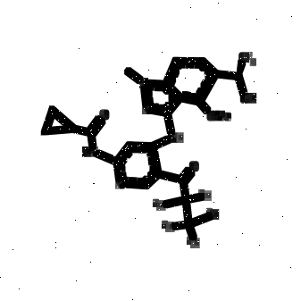 [2H]C([2H])([2H])C([2H])([2H])C(=O)c1cnc(NC(=O)C2CC2)cc1Nc1nn(C)c2ccc([C@H](O)C(F)(F)F)c(OC)c12